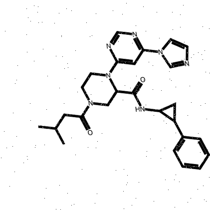 CC(C)CC(=O)N1CCN(c2cc(-n3ccnc3)ncn2)C(C(=O)NC2CC2c2ccccc2)C1